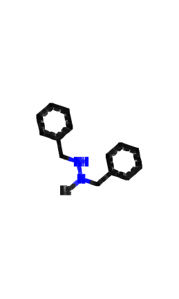 CCN(Cc1ccccc1)NCc1ccccc1